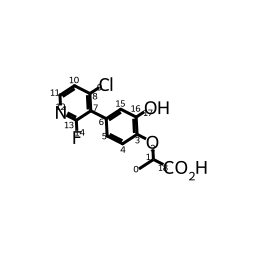 CC(Oc1ccc(-c2c(Cl)ccnc2F)cc1O)C(=O)O